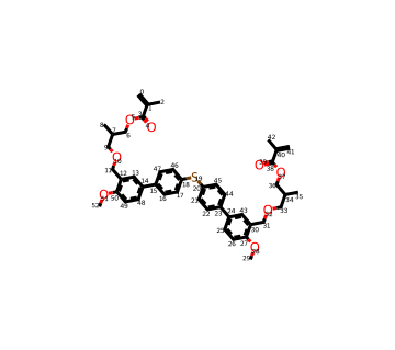 C=C(C)C(=O)OCC(C)COCc1cc(-c2ccc(Sc3ccc(-c4ccc(OC)c(COCC(C)COC(=O)C(=C)C)c4)cc3)cc2)ccc1OC